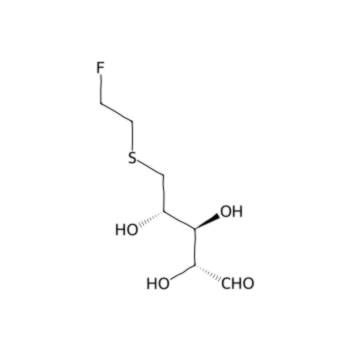 O=C[C@H](O)[C@H](O)[C@H](O)CSCCF